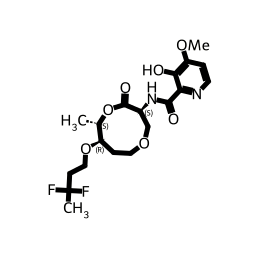 COc1ccnc(C(=O)N[C@H]2COCC[C@@H](OCCC(C)(F)F)[C@H](C)OC2=O)c1O